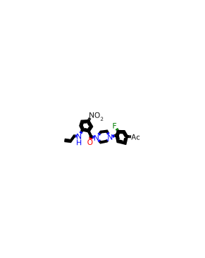 C=CCNc1ccc([N+](=O)[O-])cc1C(=O)N1CCN(c2ccc(C(C)=O)cc2F)CC1